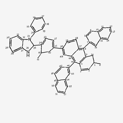 CC1C=Cc2c(c(-c3ccc4ccccc4c3)c3ccc(C4=CC=C(C5Nc6ccccc6N5c5ccccc5)C(C)C4)cc3c2-c2ccc3ccccc3c2)C1